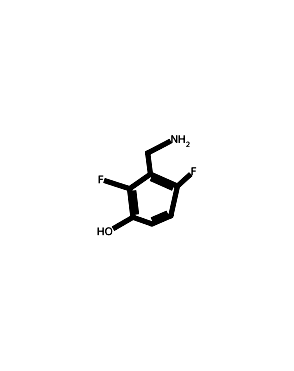 NCc1c(F)ccc(O)c1F